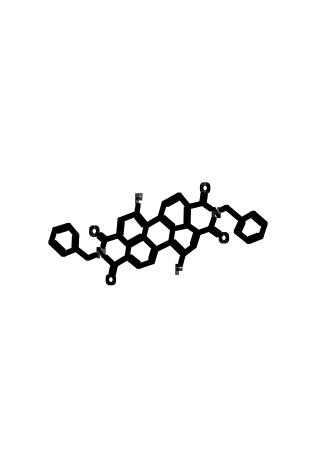 O=C1c2ccc3c4c(F)cc5c6c(ccc(c7c(F)cc(c2c37)C(=O)N1Cc1ccccc1)c64)C(=O)N(Cc1ccccc1)C5=O